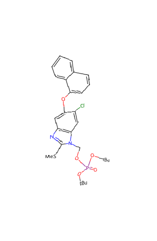 CSc1nc2cc(Oc3cccc4ccccc34)c(Cl)cc2n1COP(=O)(OC(C)(C)C)OC(C)(C)C